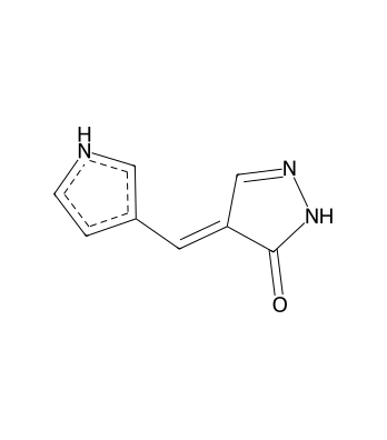 O=C1NN=CC1=Cc1cc[nH]c1